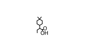 CCC(C(=O)O)C1CCC(C)(C)CC1